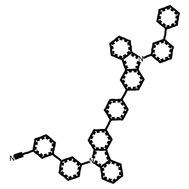 N#Cc1cccc(-c2cccc(-n3c4ccccc4c4cc(-c5ccc(-c6ccc7c(c6)c6ccccc6n7-c6cccc(-c7ccccc7)c6)cc5)ccc43)c2)c1